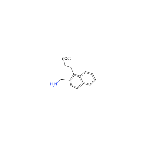 CCCCCCCCCCc1c(CN)ccc2ccccc12